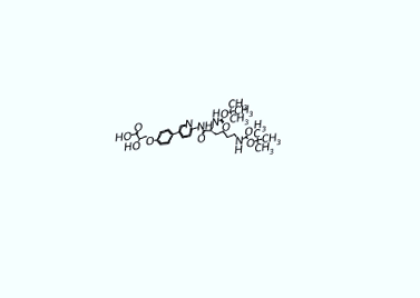 CC(C)(C)OC(=O)NCCCC[C@H](NC(=O)OC(C)(C)C)C(=O)Nc1ccc(-c2ccc(OCC(O)C(=O)O)cc2)cn1